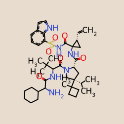 C=C[C@@H]1C[C@]1(NC(=O)[C@@H]1C[C@@](C(C)C)(C2(C)CCC2)CN1C(=O)[C@@H](NC(=O)[C@@H](N)C1CCCCC1)C(C)(C)C)C(=O)NS(=O)(=O)c1cccc2cc[nH]c12